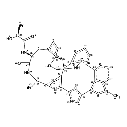 CC(C)[C@H](O)C(=O)N[C@H]1Cc2ccc3c(c2)[C@]24c5cccc(c5NC2O3)-c2cccc3c2c(cn3C)-c2cnc(o2)-c2nc(oc24)[C@H](C(C)C)NC1=O